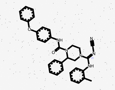 Cc1ccccc1N/C(=N/C#N)N1CCN(C(=O)Nc2ccc(Oc3ccccc3)cc2)C(c2ccccc2)C1